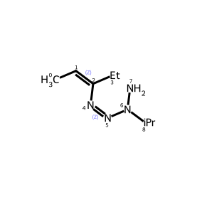 C/C=C(CC)\N=N/N(N)C(C)C